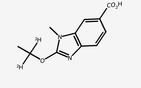 [2H]C([2H])(C)Oc1nc2ccc(C(=O)O)cc2n1C